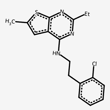 CCc1nc(NCCc2ccccc2Cl)c2cc(C)sc2n1